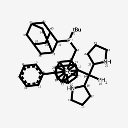 CC(C)(C)P(C[C]12[CH]3[C]4(c5ccccc5)[CH]5[C]1(C(P)(C1CCCN1)C1CCCN1)[Fe]35421678[CH]2[CH]1[CH]6[CH]7[CH]28)C1C2CC3CC(C2)CC1C3